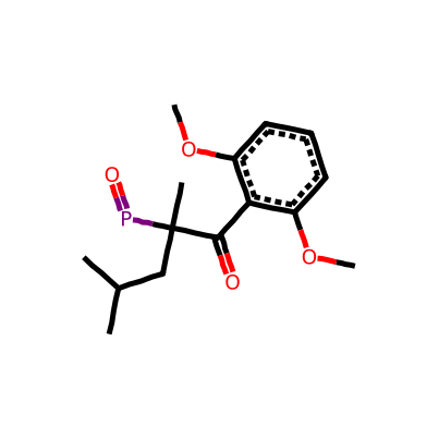 COc1cccc(OC)c1C(=O)C(C)(CC(C)C)P=O